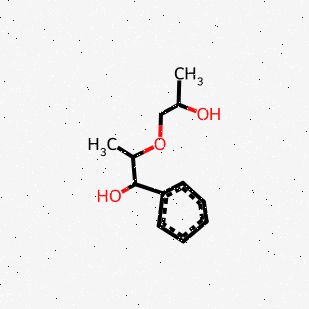 CC(O)COC(C)C(O)c1ccccc1